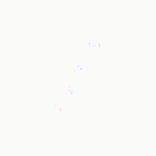 NCCCCCNC(=O)CSCC(=O)NCCCCC(=O)F